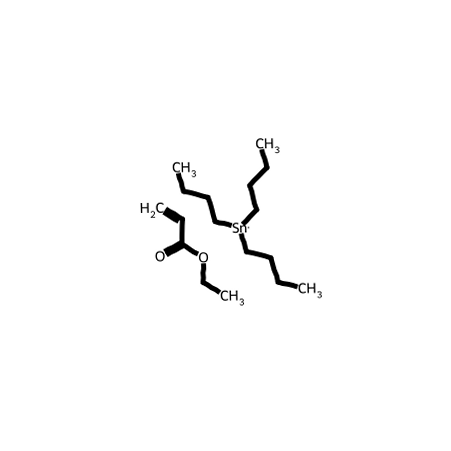 C=CC(=O)OCC.CCC[CH2][Sn]([CH2]CCC)[CH2]CCC